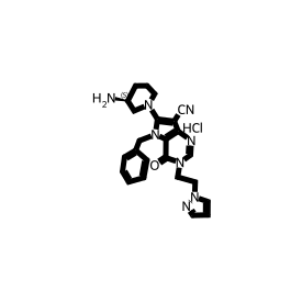 Cl.N#Cc1c(N2CCC[C@H](N)C2)n(Cc2ccccc2)c2c(=O)n(CCn3cccn3)cnc12